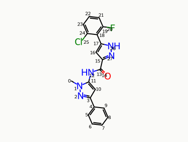 Cn1nc(-c2ccccc2)cc1NC(=O)c1cc(-c2c(F)cccc2Cl)[nH]n1